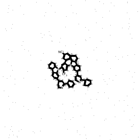 N#Cc1cccc(-c2cc(-n3c4ccccc4c4ccc(-c5ccnc(-c6ccccc6)c5)cc43)c(C(F)(F)F)cc2-n2c3ccccc3c3ccc(-c4ccnc(-c5ccccc5)c4)cc32)c1